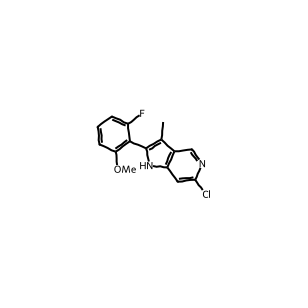 COc1cccc(F)c1-c1[nH]c2cc(Cl)ncc2c1C